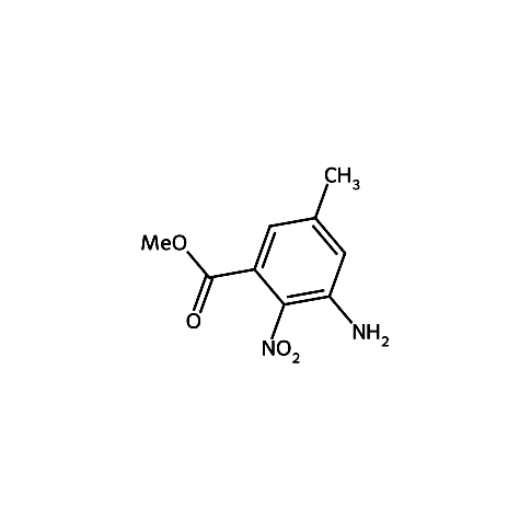 COC(=O)c1cc(C)cc(N)c1[N+](=O)[O-]